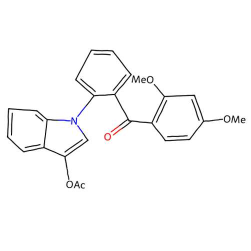 COc1ccc(C(=O)c2ccccc2-n2cc(OC(C)=O)c3ccccc32)c(OC)c1